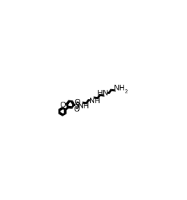 NCCCNCCCCNCCCNS(=O)(=O)c1ccc2oc3ccccc3c2c1